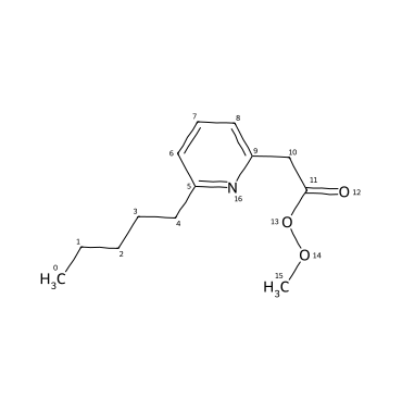 CCCCCc1cccc(CC(=O)OOC)n1